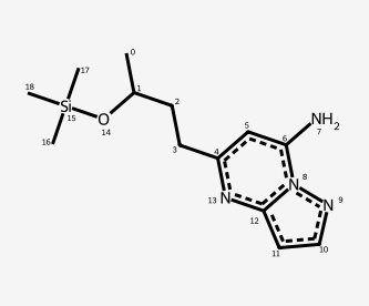 CC(CCc1cc(N)n2nccc2n1)O[Si](C)(C)C